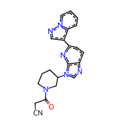 N#CCC(=O)N1CCCC(n2cnc3ccc(-c4cnn5ccccc45)nc32)C1